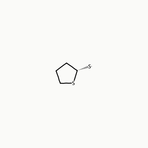 [S][C@H]1CCCS1